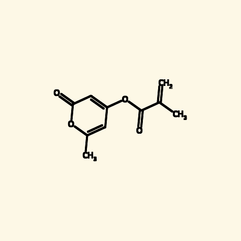 C=C(C)C(=O)Oc1cc(C)oc(=O)c1